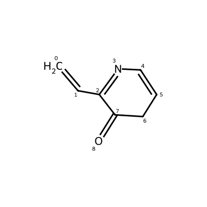 C=CC1=NC=CCC1=O